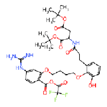 CC(C)(C)OC(=O)CC(NC(=O)CCc1cccc(O)c1OCCCCOc1cc(NC(=N)N)ccc1C(=O)OC(=O)C(F)(F)F)C(=O)OC(C)(C)C